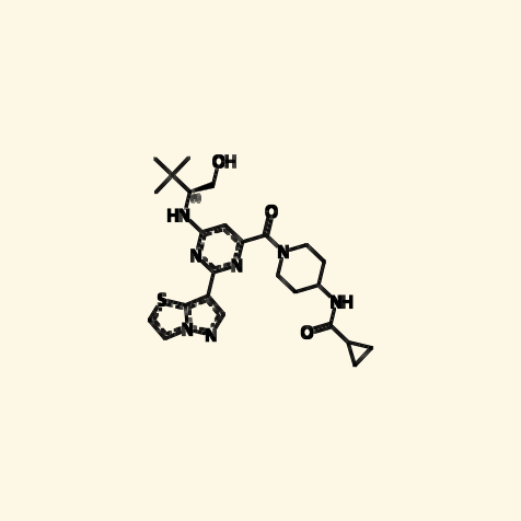 CC(C)(C)[C@@H](CO)Nc1cc(C(=O)N2CCC(NC(=O)C3CC3)CC2)nc(-c2cnn3ccsc23)n1